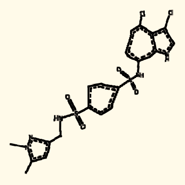 Cc1cc(CNS(=O)(=O)c2ccc(S(=O)(=O)Nc3ccc(Cl)c4c(Cl)c[nH]c34)cc2)nn1C